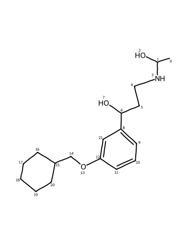 CC(O)NCCC(O)c1cccc(OCC2CCCCC2)c1